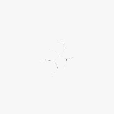 CC(CF)C(O)(C[N+](=O)[O-])C(F)F